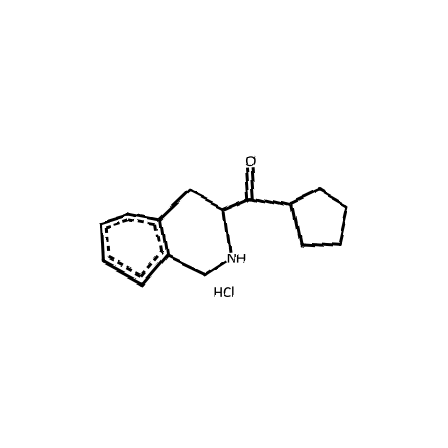 Cl.O=C(C1CCCC1)C1Cc2ccccc2CN1